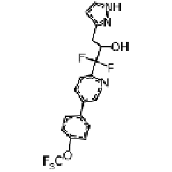 OC(Cc1cc[nH]n1)C(F)(F)c1ccc(-c2ccc(OC(F)(F)F)cc2)cn1